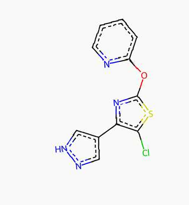 Clc1sc(Oc2ccccn2)nc1-c1cn[nH]c1